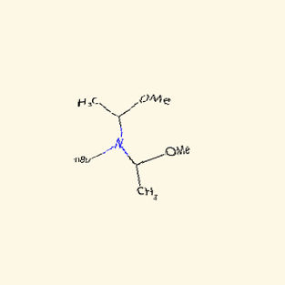 CCC[CH]N(C(C)OC)C(C)OC